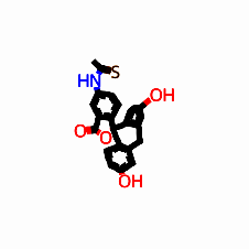 CC(=S)Nc1ccc2c(c1)C(=O)OC21c2ccc(O)cc2Cc2cc(O)ccc21